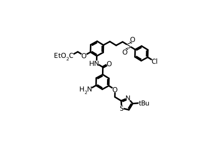 CCOC(=O)COc1ccc(CCCS(=O)(=O)c2ccc(Cl)cc2)cc1NC(=O)c1cc(N)cc(OCc2nc(C(C)(C)C)cs2)c1